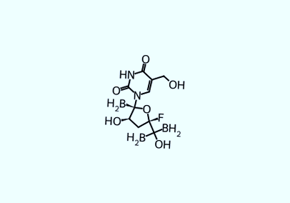 BC(B)(O)[C@]1(F)C[C@@H](O)[C@](B)(n2cc(CO)c(=O)[nH]c2=O)O1